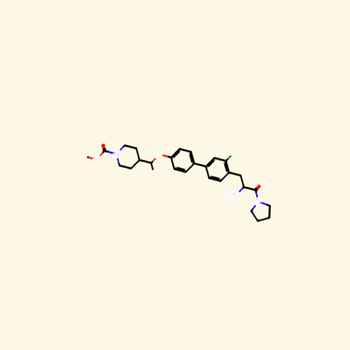 CC(C)OC(=O)N1CCC(C(C)Oc2ccc(-c3ccc(CC(N)C(=O)N4CCCC4)c(F)c3)cc2)CC1